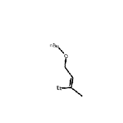 CCCCOC/C=C(/C)CC